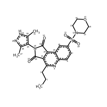 CCCc1nc2ccc(S(=O)(=O)N3CCOCC3)cc2c2c1C(=O)N(c1c(C)n[nH]c1C)C2=O